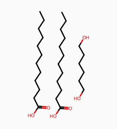 CCCCCCCCCCCC(=O)O.CCCCCCCCCCCC(=O)O.OCCCCCCO